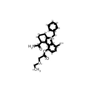 CCOCC(=O)Oc1ccc(F)c2c1c1c(n2Cc2ccccc2)CCCC1C(N)=O